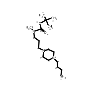 CN(CCCN1CCN(CCCN)CC1)C(=O)OC(C)(C)C